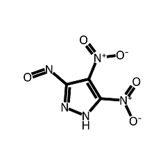 O=Nc1n[nH]c([N+](=O)[O-])c1[N+](=O)[O-]